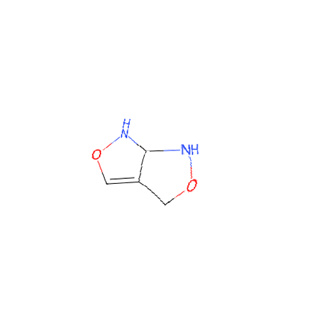 C1=C2CONC2NO1